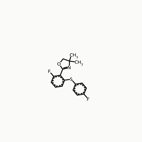 CC1(C)COC(c2c(F)cccc2Sc2ccc(F)cc2)=N1